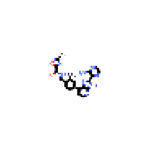 CC(C)(C)c1noc(C(=O)NCc2ccc(-c3ccnc4[nH]c(-c5nccnc5N)nc34)cc2C(F)(F)F)n1